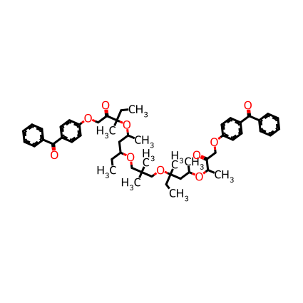 CCC(CC(C)OC(C)(CC)C(=O)COc1ccc(C(=O)c2ccccc2)cc1)OCC(C)(C)COC(C)(CC)CC(C)OC(C)C(=O)COc1ccc(C(=O)c2ccccc2)cc1